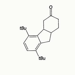 CC(C)(C)c1ccc(C(C)(C)C)c2c1CC1CCC(=O)CC21